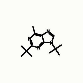 Cc1nc(C(C)(C)C)nc2c1ncn2C(C)(C)C